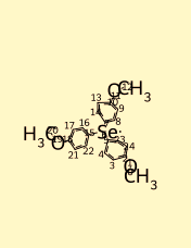 COc1ccc([Se](c2ccc(OC)cc2)c2ccc(OC)cc2)cc1